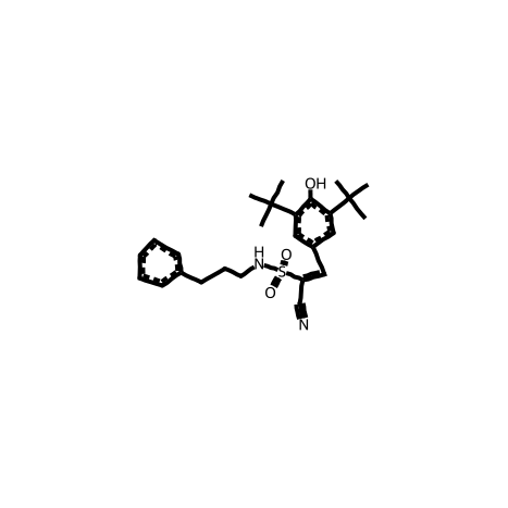 CC(C)(C)c1cc(C=C(C#N)S(=O)(=O)NCCCc2ccccc2)cc(C(C)(C)C)c1O